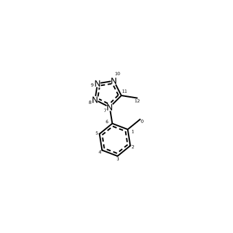 Cc1ccccc1-n1nnnc1C